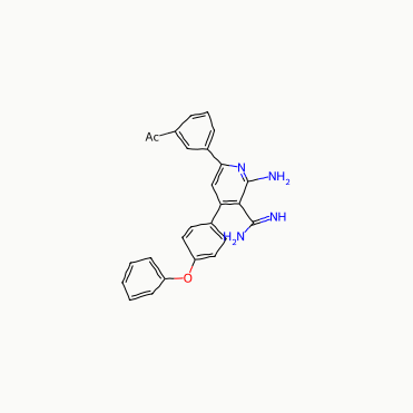 CC(=O)c1cccc(-c2cc(-c3ccc(Oc4ccccc4)cc3)c(C(=N)N)c(N)n2)c1